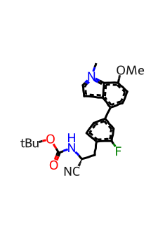 COc1ccc(-c2ccc(C[C@@H](C#N)NC(=O)OC(C)(C)C)c(F)c2)c2ccn(C)c12